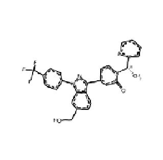 C[C@@H](c1ccccn1)n1ccc(-c2nn(-c3ccc(C(F)(F)F)cc3)c3cc(CO)ccc23)cc1=O